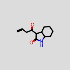 C=CCC(=O)C1C(=O)NC2CCCCC21